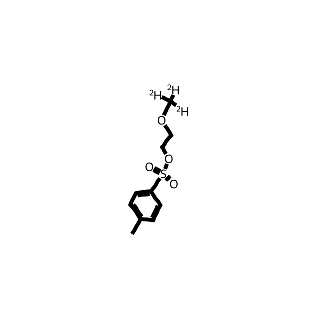 [2H]C([2H])([2H])OCCOS(=O)(=O)c1ccc(C)cc1